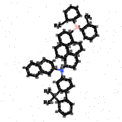 Cc1ccccc1B(c1ccccc1C)c1ccc2ccc3c(N(c4ccc5c(c4)C(C)(C)c4ccccc4-5)c4ccc5ccccc5c4)ccc4ccc1c2c43